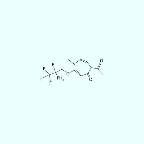 CC(=O)C1C=CN(C)C(OCC(F)(P)C(F)(F)F)=CC1=O